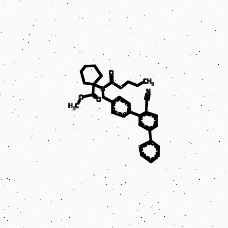 CCCCC(=O)N(Cc1ccc(-c2cc(-c3ccccc3)ccc2C#N)cc1)C1(C(=O)OC)CCCCC1